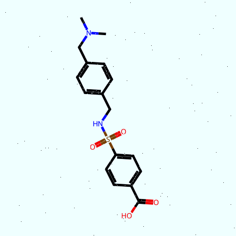 CN(C)Cc1ccc(CNS(=O)(=O)c2ccc(C(=O)O)cc2)cc1